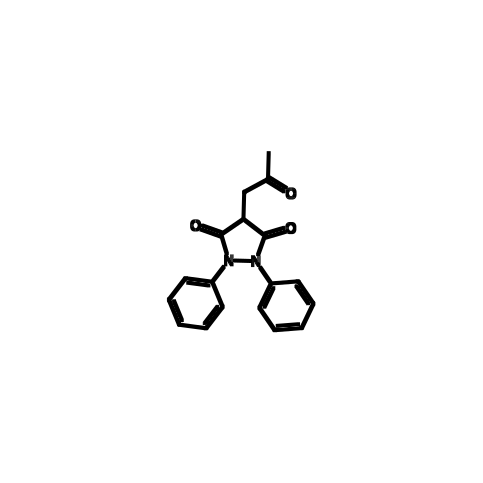 CC(=O)CC1C(=O)N(c2ccccc2)N(c2ccccc2)C1=O